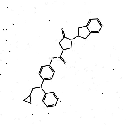 O=C(Nc1ccc(N(CC2CC2)c2ccccc2)cc1)C1CC(=O)N(C2Cc3ccccc3C2)C1